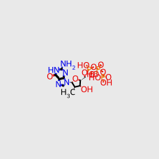 C[C@H]1[C@H](O)[C@@H](COP(=O)(O)OP(=O)(O)OP(=O)(O)O)O[C@H]1n1cnc2c(=O)[nH]c(N)nc21